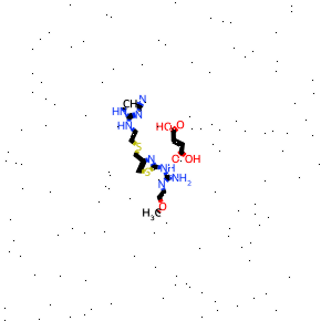 CNC(=NC#N)NCCSCc1csc(NC(N)=NCCOC)n1.O=C(O)C=CC(=O)O